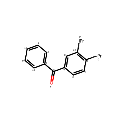 CC(C)c1ccc(C(=O)c2ccccc2)cc1C(C)C